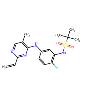 C=Cc1ncc(C)c(Nc2ccc(F)c(NS(=O)(=O)C(C)(C)C)c2)n1